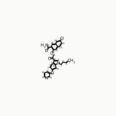 C=CCCn1cc(C(=O)COc2cc3ccc(Cl)cc3cc2C(N)=O)c2ccc(Oc3cccnc3)cc21